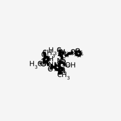 COc1ccc(CNC(=O)c2cc3c(cnn3C)c(-c3nc(-c4cc(C)nn4CCCOC4CCCCO4)sc3CO)n2)c(OC)c1